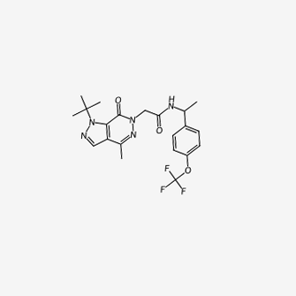 Cc1nn(CC(=O)NC(C)c2ccc(OC(F)(F)F)cc2)c(=O)c2c1cnn2C(C)(C)C